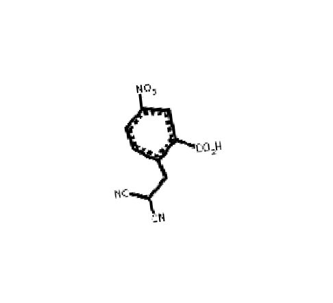 N#CC(C#N)Cc1ccc([N+](=O)[O-])cc1C(=O)O